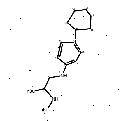 CCCCNC(CCCC)CNc1ccc(C2CCCCC2)cc1